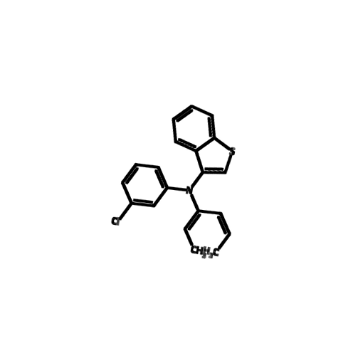 C/C=C\C(=C/C)N(c1cccc(Cl)c1)c1csc2ccccc12